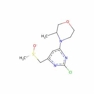 CC1COCCN1c1cc(C[S@+](C)[O-])nc(Cl)n1